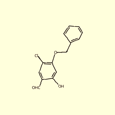 O=Cc1cc(Cl)c(OCc2ccccc2)cc1O